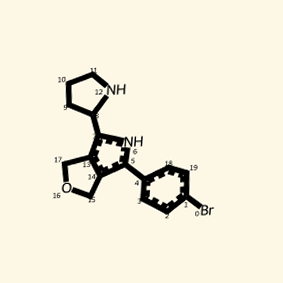 Brc1ccc(-c2[nH]c(C3CCCN3)c3c2COC3)cc1